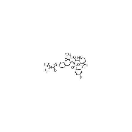 CN(C)C(=O)Oc1ccc(C[C@@H](C(=O)OC(C)(C)C)N(C(=O)C2CS(=O)(=O)CCN2)S(=O)(=O)c2ccc(F)cc2)cc1